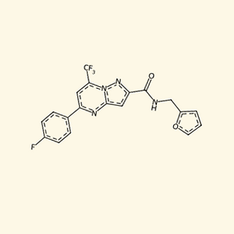 O=C(NCc1ccco1)c1cc2nc(-c3ccc(F)cc3)cc(C(F)(F)F)n2n1